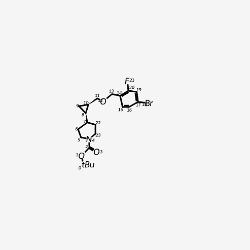 CC(C)(C)OC(=O)N1CCC([C@H]2C[C@H]2COCc2ccc(Br)cc2F)CC1